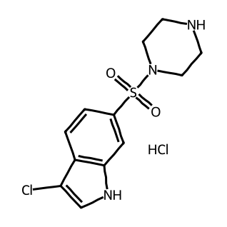 Cl.O=S(=O)(c1ccc2c(Cl)c[nH]c2c1)N1CCNCC1